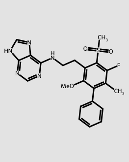 COc1c(CCNc2ncnc3[nH]cnc23)c(S(C)(=O)=O)c(F)c(C)c1-c1ccccc1